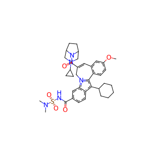 COc1ccc2c(c1)C=C(C(=O)N1C3CCC1CN(C1CC1)C3)Cn1c-2c(C2CCCCC2)c2ccc(C(=O)NS(=O)(=O)N(C)C)cc21